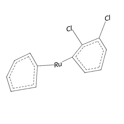 Clc1ccc[c]([Ru][c]2ccccc2)c1Cl